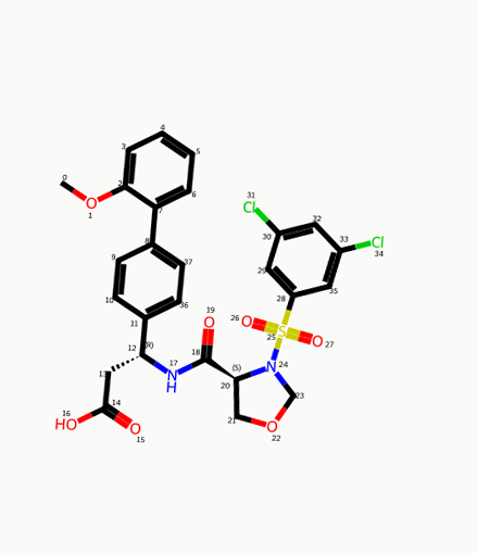 COc1ccccc1-c1ccc([C@@H](CC(=O)O)NC(=O)[C@@H]2COCN2S(=O)(=O)c2cc(Cl)cc(Cl)c2)cc1